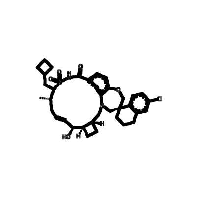 C[C@H]1C/C=C/[C@H](O)[C@@H]2CC[C@H]2CN2C[C@@]3(CCCc4cc(Cl)ccc43)COc3ccc(cc32)C(=O)NS(=O)(=O)C1CC1CCC1